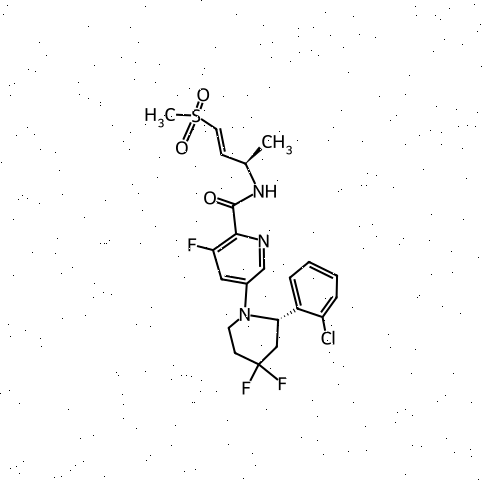 C[C@H](/C=C/S(C)(=O)=O)NC(=O)c1ncc(N2CCC(F)(F)C[C@H]2c2ccccc2Cl)cc1F